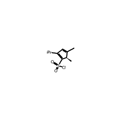 CC1=CC(C(C)C)=C(S(=O)(=O)Cl)[C@@H]1C